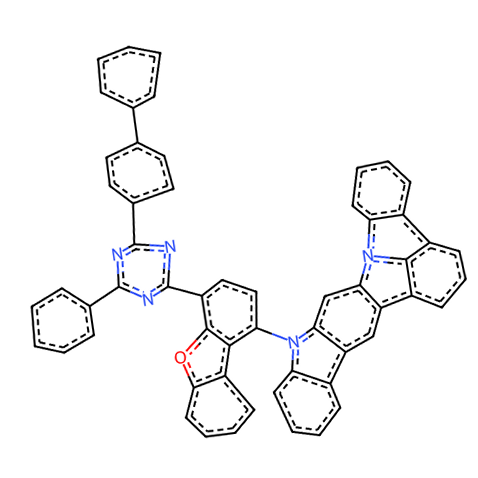 c1ccc(-c2ccc(-c3nc(-c4ccccc4)nc(-c4ccc(-n5c6ccccc6c6cc7c8cccc9c%10ccccc%10n(c7cc65)c98)c5c4oc4ccccc45)n3)cc2)cc1